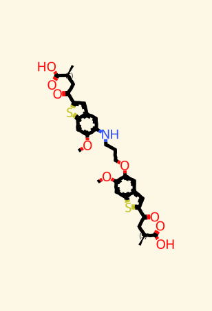 COc1cc2sc(C(=O)C[C@H](C)C(=O)O)cc2cc1NCCCOc1cc2cc(C(=O)C[C@H](C)C(=O)O)sc2cc1OC